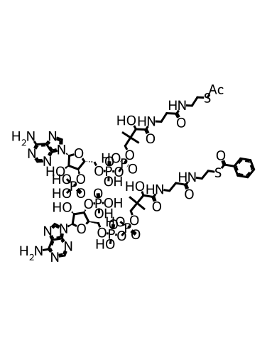 CC(=O)SCCNC(=O)CCNC(=O)C(O)C(C)(C)COP(=O)(O)OP(=O)(O)OC[C@H]1O[C@@H](n2cnc3c(N)ncnc32)[C@H](O)[C@@H]1OP(=O)(O)O.CC(C)(COP(=O)(O)OP(=O)(O)OC[C@H]1O[C@@H](n2cnc3c(N)ncnc32)[C@H](O)[C@@H]1OP(=O)(O)O)C(O)C(=O)NCCC(=O)NCCSC(=O)c1ccccc1